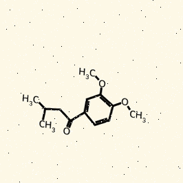 COc1ccc(C(=O)C[C](C)C)cc1OC